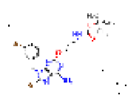 CC(C)(C)OC(=O)NCCCOc1nc(N)c2nc(Br)n(Cc3cccc(Br)c3)c2n1